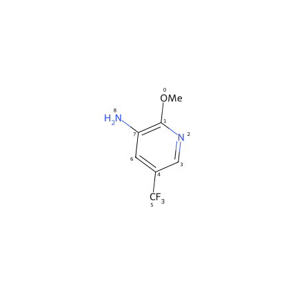 COc1ncc(C(F)(F)F)cc1N